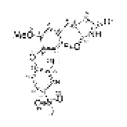 COc1cc(C=C2SC(=O)NC2=O)ccc1Oc1ccc(S(C)(=O)=O)cc1Cl